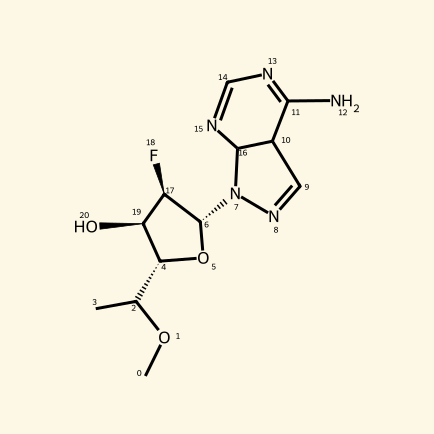 COC(C)[C@H]1O[C@@H](N2N=CC3C(N)=NC=NC32)[C@H](F)[C@@H]1O